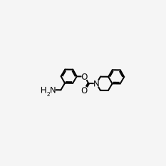 NCc1cccc(OC(=O)N2CCc3ccccc3C2)c1